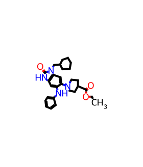 CCOC(=O)C1CCN(c2cc3c(cc2Nc2ccccc2)[nH]c(=O)n3CC2CCCCC2)CC1